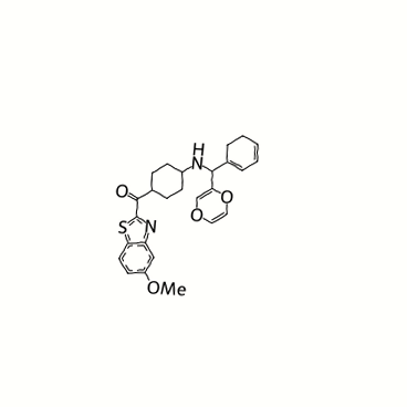 COc1ccc2sc(C(=O)C3CCC(NC(C4=CC=CCC4)C4=COC=CO4)CC3)nc2c1